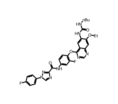 CCCCNC(=O)Nc1cc2c(Oc3ccc(NC(=O)c4ncn(-c5ccc(F)cc5)n4)cc3F)ncnc2cc1OCC